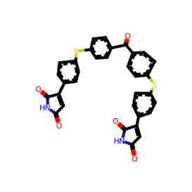 O=C1C=C(c2ccc(Sc3ccc(C(=O)c4ccc(Sc5ccc(C6=CC(=O)NC6=O)cc5)cc4)cc3)cc2)C(=O)N1